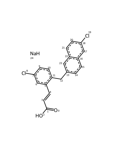 O=C(O)C=Cc1cc(Cl)ccc1Cc1ccc2cc(Cl)ccc2c1.[NaH]